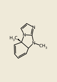 CN1c2nccn2[C@@]2(C)C=CC=CC12